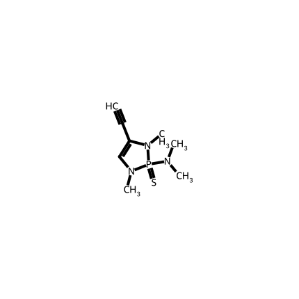 C#CC1=CN(C)P(=S)(N(C)C)N1C